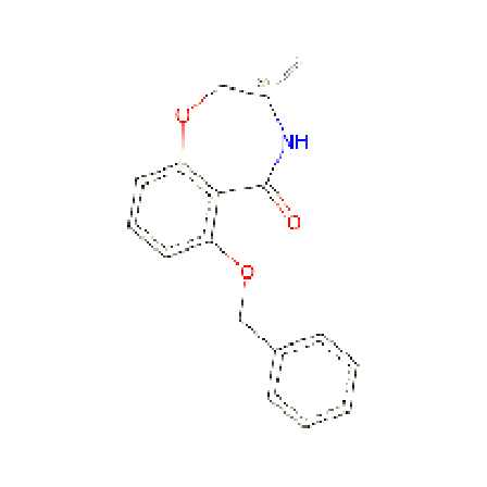 C[C@H]1COc2cccc(OCc3ccccc3)c2C(=O)N1